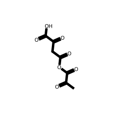 CC(=O)C(=O)OC(=O)CC(=O)C(=O)O